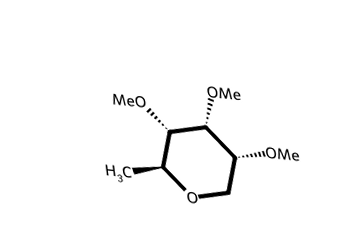 CO[C@@H]1[C@H](OC)[C@H](OC)CO[C@H]1C